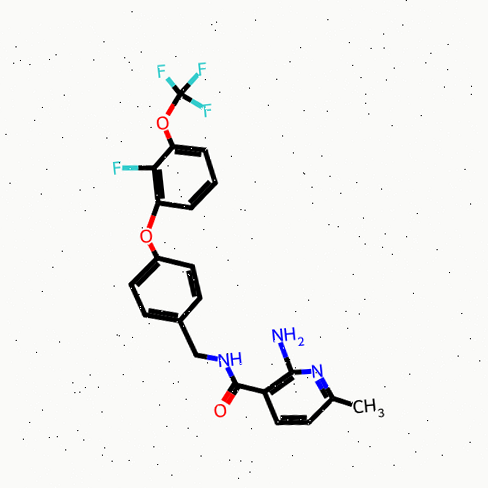 Cc1ccc(C(=O)NCc2ccc(Oc3cccc(OC(F)(F)F)c3F)cc2)c(N)n1